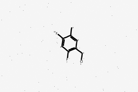 Cc1cc(CCl)c(F)cc1F